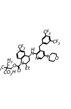 CC[C@@H]1C[C@H](Nc2ncc(N3CCOCC3)cc2Cc2cc(C(F)(F)F)cc(C(F)(F)F)c2)c2cc(C(F)(F)F)ccc2N1C(=O)OCC(C)(C)C(=O)O